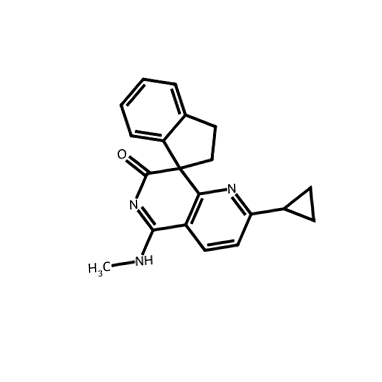 CNC1=NC(=O)C2(CCc3ccccc32)c2nc(C3CC3)ccc21